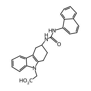 O=C(O)Cn1c2c(c3ccccc31)CC(NC(=O)Nc1cccc3ccccc13)CC2